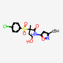 CC(C)(C)c1cc(NC(=O)C(C)(CCO)S(=O)(=O)c2ccc(Cl)cc2)on1